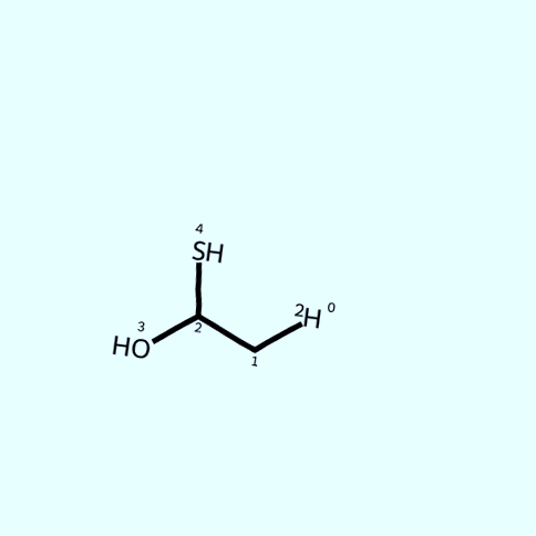 [2H]CC(O)S